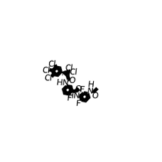 CC(=O)Nc1ccc(F)c(NC(=O)c2cc(NC(=O)C3[C@H](c4cc(Cl)c(Cl)c(Cl)c4)C3(Cl)Cl)ccc2F)c1F